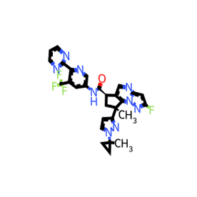 CC1(n2ccc([C@]3(C)C[C@@H](C(=O)Nc4cnc(-c5ncccn5)c(C(F)(F)F)c4)c4cnc5cc(F)nn5c43)n2)CC1